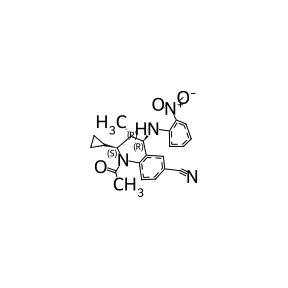 CC(=O)N1c2ccc(C#N)cc2[C@H](Nc2ccccc2[N+](=O)[O-])[C@@H](C)[C@@H]1C1CC1